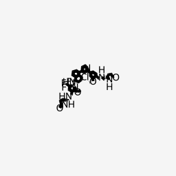 COc1cc(-c2nccc(-c3cccc4c3CCC[C@H]4Nc3nc(OC)c(CNC[C@@H]4CCC(=O)N4)cc3C(F)(F)F)c2Cl)ccc1CNC[C@@H]1CCC(=O)N1